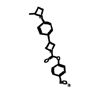 CC1CCN1c1ccc(C2CN(C(=O)Oc3ccc([N+](=O)[O-])cc3)C2)cc1